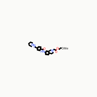 COCCOC(=O)CN1CCc2ccc(NC(=O)c3ccc(/C=N/N4CCCCC4)cc3)cc2C1